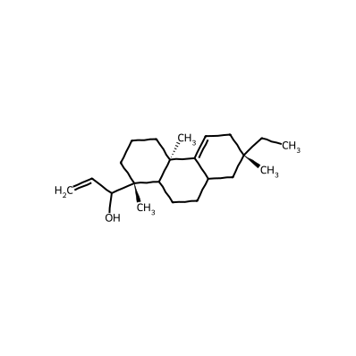 C=CC(O)[C@]1(C)CCC[C@@]2(C)C3=CC[C@](C)(CC)CC3CCC12